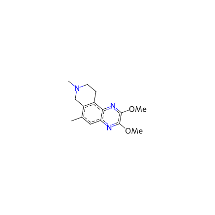 COc1nc2cc(C)c3c(c2nc1OC)CCN(C)C3